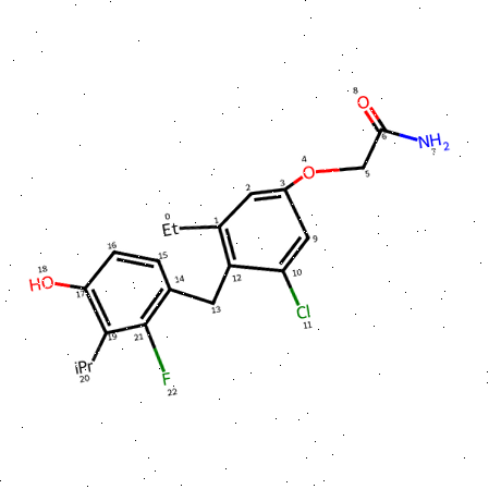 CCc1cc(OCC(N)=O)cc(Cl)c1Cc1ccc(O)c(C(C)C)c1F